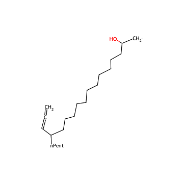 [CH2]C(O)CCCCCCCCCCCC(C=C=C)CCCCC